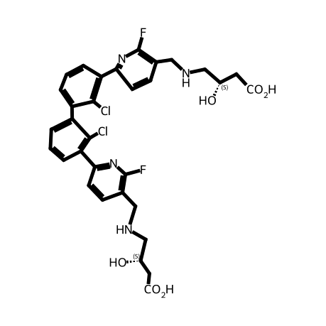 O=C(O)C[C@H](O)CNCc1ccc(-c2cccc(-c3cccc(-c4ccc(CNC[C@@H](O)CC(=O)O)c(F)n4)c3Cl)c2Cl)nc1F